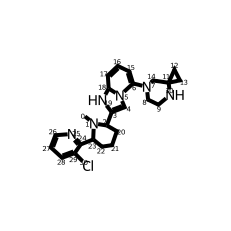 CN1C(C2=CN3C(N4CCNC5(CC5)C4)=CC=CC3N2)CCCC1c1ncccc1Cl